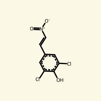 O=[N+]([O-])C=Cc1cc(Cl)c(O)c(Cl)c1